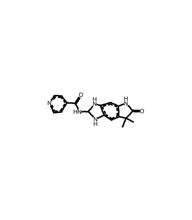 CC1(C)C(=O)Nc2cc3c(cc21)NC(NC(=O)c1ccncc1)N3